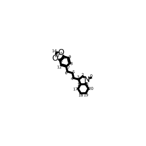 CN1CC(CC[CH]c2ccc3c(c2)OCO3)C2CCCCC21